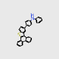 c1ccc(Nc2ccc(-c3ccc4sc5c6ccccc6c6ccccc6c5c4c3)cc2)cc1